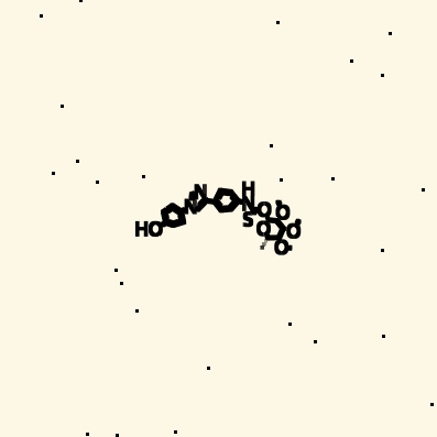 CO[C@@H]1[C@@H](OC)[C@H](C)O[C@@H](OC(=S)Nc2ccc(-c3cn(-c4ccc(O)cc4)cn3)cc2)[C@@H]1OC